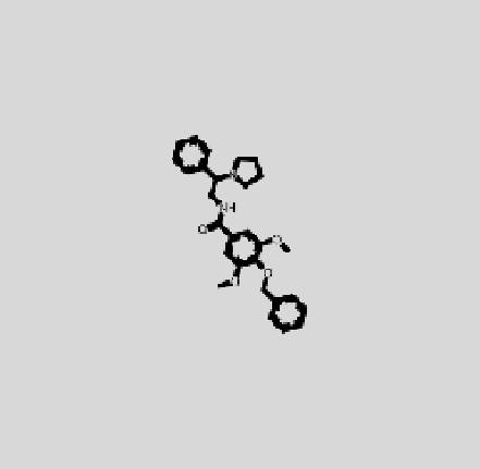 COc1cc(C(=O)NCC(c2ccccc2)N2CCCC2)cc(OC)c1OCc1ccccc1